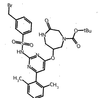 Cc1cccc(C)c1-c1cc(OC2CNC(=O)CN(C(=O)OC(C)(C)C)C2)nc(NS(=O)(=O)c2cccc(CBr)c2)n1